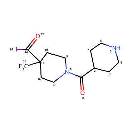 O=C(C1CCNCC1)N1CCC(C(=O)I)(C(F)(F)F)CC1